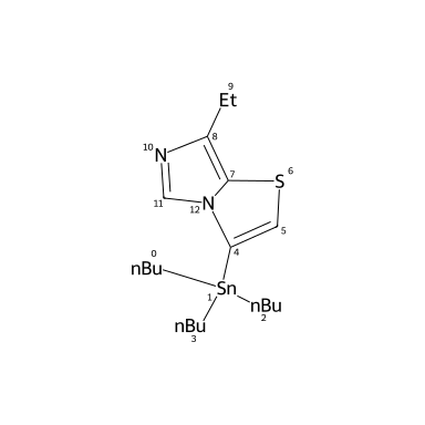 CCC[CH2][Sn]([CH2]CCC)([CH2]CCC)[c]1csc2c(CC)ncn12